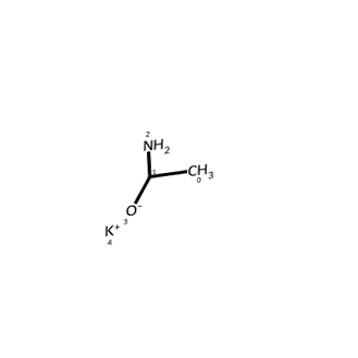 CC(N)[O-].[K+]